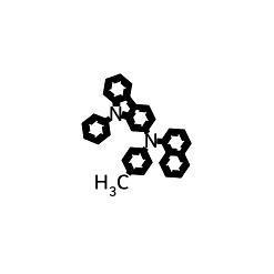 Cc1ccc(N(c2ccc3c4ccccc4n(-c4ccccc4)c3c2)c2cccc3ccccc23)cc1